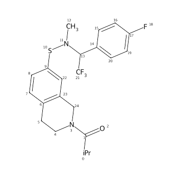 CC(C)C(=O)N1CCc2ccc(SN(C)C(c3ccc(F)cc3)C(F)(F)F)cc2C1